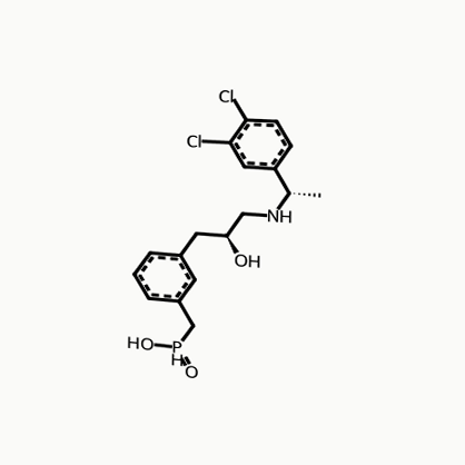 C[C@H](NC[C@@H](O)Cc1cccc(C[PH](=O)O)c1)c1ccc(Cl)c(Cl)c1